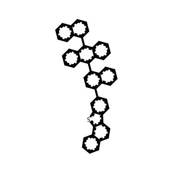 c1ccc2c(-c3c4ccccc4c(-c4ccc(-c5ccc6c(c5)sc5c7ccccc7ccc65)c5ccccc45)c4ccccc34)cccc2c1